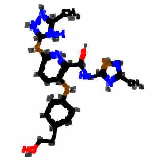 Cc1nsc(NC(=O)c2nc(Sc3nnc(C)[nH]3)ccc2Sc2ccc(CCO)cc2)n1